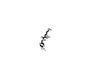 CCNC(CCCCC(C)(C)C)C(=O)NCc1cnc(C)cn1